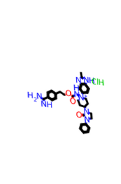 Cc1nc2cc([N+]3(NC(=O)OCCc4ccc(C(=N)N)cc4)CCC(N4CCN(c5ccccc5)C4=O)CC3)ccc2[nH]1.Cl